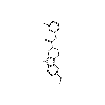 COc1ccc2[nH]c3c(c2c1)CCN(C(=O)Nc1cccc(C)c1)C3